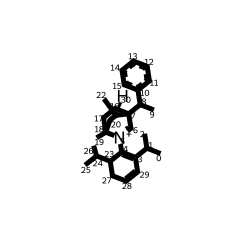 CC(C)C1=C([N+]2=CC3(C(C)c4ccccc4)CCC2(C)C[C@@H]3C)C(C(C)C)CC=C1